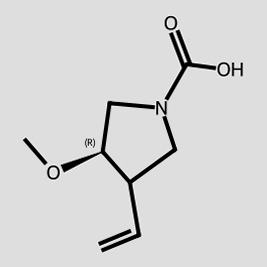 C=CC1CN(C(=O)O)C[C@@H]1OC